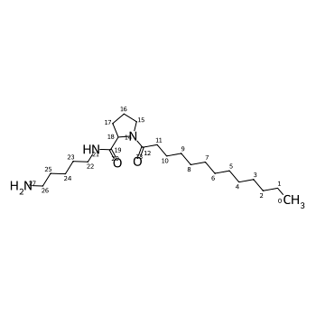 CCCCCCCCCCCCC(=O)N1CCCC1C(=O)NCCCCCN